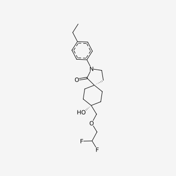 CCc1ccc(N2CC[C@]3(CC[C@](O)(COCC(F)F)CC3)C2=O)cc1